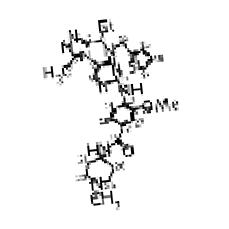 CC[C@@H]1c2nnc(C)n2-c2cnc(Nc3ccc(C(=O)NC4CCN(C)CC4)cc3OC)nc2N1Cc1cccs1